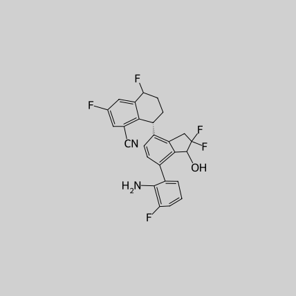 N#Cc1cc(F)cc2c1[C@@H](c1ccc(-c3cccc(F)c3N)c3c1CC(F)(F)C3O)CCC2F